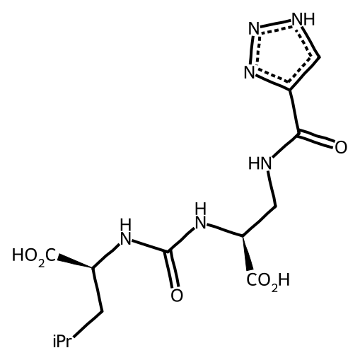 CC(C)C[C@H](NC(=O)N[C@@H](CNC(=O)c1c[nH]nn1)C(=O)O)C(=O)O